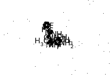 Cc1n[nH]c(C2CC(F)(F)C(C)(N)C(C)O2)c1NC(=O)c1nc(-c2c(F)cccc2F)sc1N